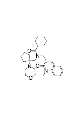 Cn1c(=O)c(CN(CC2(N3CCOCC3)CCCC2)C(=O)C2CCCCC2)cc2ccccc21